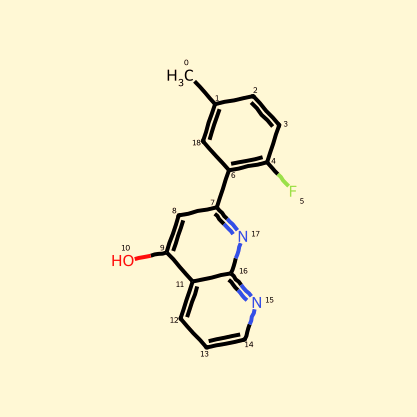 Cc1ccc(F)c(-c2cc(O)c3cccnc3n2)c1